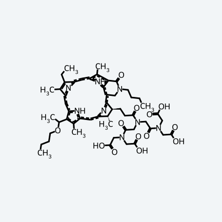 CCCCOC(C)c1c(C)c2cc3nc(c4c5[nH]c(cc6nc(cc1[nH]2)C(C)=C6CC)c(C)c5C(=O)N(CCCC)C4)[C@@H](CCC(=O)N(CC(=O)N(CC(=O)O)CC(=O)O)CC(=O)N(CC(=O)O)CC(=O)O)[C@@H]3C